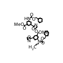 C=CCN(C(=O)OCc1ccccc1)c1cc(C(=O)OC)cc(-c2ncco2)c1.COC(=O)c1cc(NC(=O)OCc2ccccc2)cc(-c2ncco2)c1